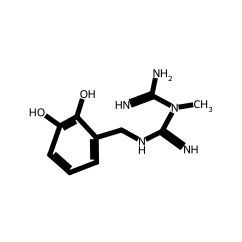 CN(C(=N)N)C(=N)NCc1cccc(O)c1O